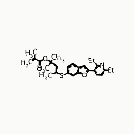 C=C(C)C(=O)OC(C)(C)CC(C)Sc1ccc2cc(-c3ccc(CC)nc3CC)oc2c1